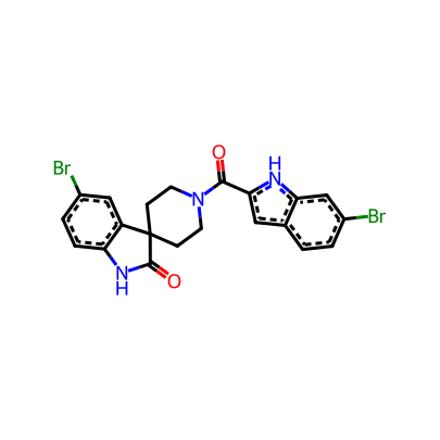 O=C(c1cc2ccc(Br)cc2[nH]1)N1CCC2(CC1)C(=O)Nc1ccc(Br)cc12